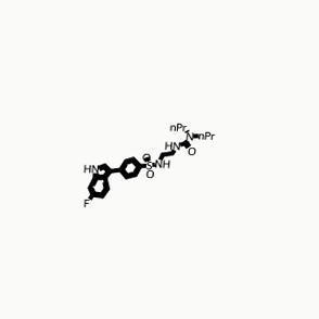 CCCN(CCC)C(=O)NCCNS(=O)(=O)c1ccc(-c2c[nH]c3cc(F)ccc23)cc1